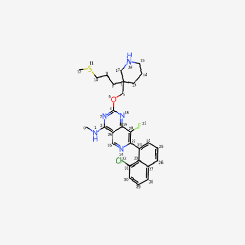 CNc1nc(OCC2(CCCSC)CCCNC2)nc2c(F)c(-c3cccc4cccc(Cl)c34)ncc12